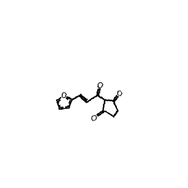 O=C(C=Cc1ccco1)C1C(=O)CCC1=O